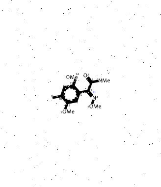 CNC(=O)/C(=N/OC)c1cc(OC)c(C)cc1OC